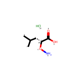 CC(C)C[C@@H](ON)C(=O)O.Cl